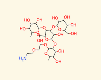 CC1OC(OC2C(C(=O)O)OC(OC3C(OCCOCCN)OC(C)C(O)C3O)C(O)C2OC2OC(CO)C(O)C(O)C2O)C(O)C(O)C1O